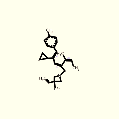 C=CC1(CCC)CN(CC(=C/C(=C/c2ccc(C)cc2)C2CC2)/C(C)=C\C)C1